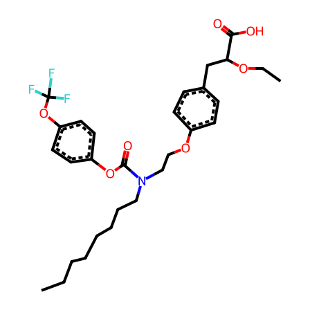 CCCCCCCCN(CCOc1ccc(CC(OCC)C(=O)O)cc1)C(=O)Oc1ccc(OC(F)(F)F)cc1